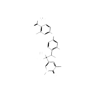 COC(=O)c1ccc(Oc2ccc(C(C)C(O)(c3cc(C)c(=O)n(C)c3)C(F)(F)F)c(Cl)c2)cc1Cl